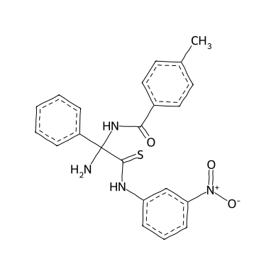 Cc1ccc(C(=O)NC(N)(C(=S)Nc2cccc([N+](=O)[O-])c2)c2ccccc2)cc1